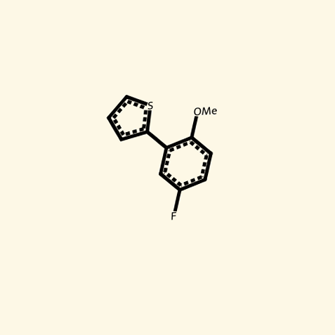 COc1ccc(F)cc1-c1cccs1